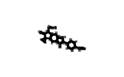 CCCCCN1C(=O)C2(CC2)c2cc3[nH]c(-c4ccc(OC)cc4)nc3cc21